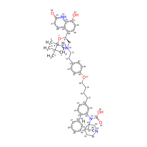 CC(C)(C)[Si](C)(C)O[C@H](CNCCc1ccc(OCCCCc2ccc(-c3ccccc3)c(N(C(=O)O)[C@H]3CN4CCC3CC4)c2)cc1)c1ccc(O)c2[nH]c(=O)ccc12